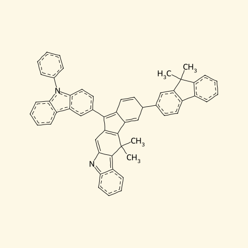 CC1(C)C2=C(C=C3N=c4ccccc4=C31)C(c1ccc3c(c1)c1ccccc1n3-c1ccccc1)=C1C=CC(c3ccc4c(c3)C(C)(C)c3ccccc3-4)C=C12